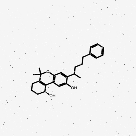 CC(CCCc1ccccc1)c1cc2c(cc1O)C1=C(CCC[C@@H]1O)C(C)(C)O2